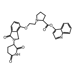 O=C1CCC(N2Cc3c(OCCN4CCCC4C(=O)Oc4ccnc5ccccc45)cccc3C2=O)C(=O)N1